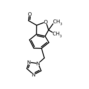 CC1(C)OC(C=O)c2ccc(Cn3cncn3)cc21